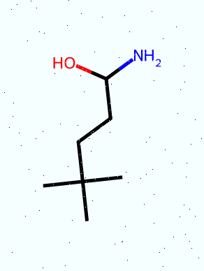 CC(C)(C)CCC(N)O